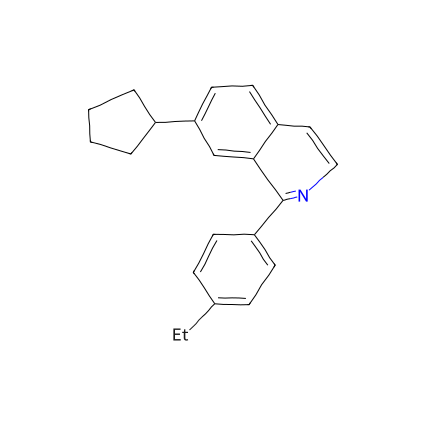 CCc1ccc(-c2nccc3ccc(C4CCCC4)cc23)cc1